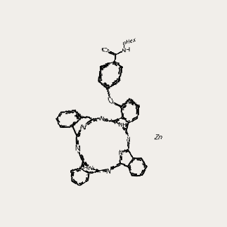 CCCCCCNC(=O)c1ccc(Oc2cccc3c4nc5nc(nc6[nH]c(nc7nc(nc([nH]4)c23)-c2ccccc2-7)c2ccccc62)-c2ccccc2-5)cc1.[Zn]